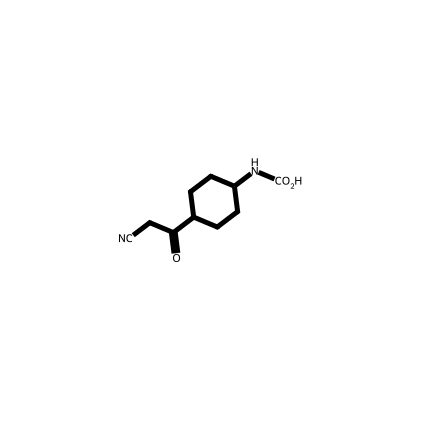 N#CCC(=O)C1CCC(NC(=O)O)CC1